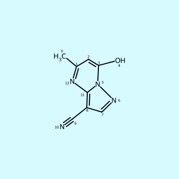 Cc1cc(O)n2ncc(C#N)c2n1